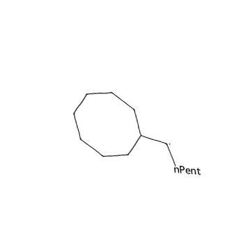 CCCCC[CH]C1CCCCCCC1